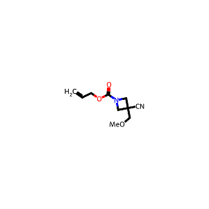 C=CCOC(=O)N1CC(C#N)(COC)C1